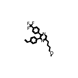 C=Cc1ccc(-c2nc(CCCCOC)cnc2-c2ccc(C(F)(F)F)cc2)cc1